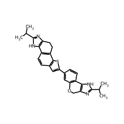 CC(C)c1nc2c([nH]1)-c1ccc(-c3cc4ccc5c(c4s3)CCc3nc(C(C)C)[nH]c3-5)cc1OC2